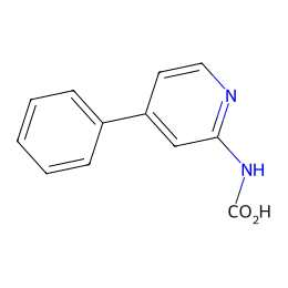 O=C(O)Nc1cc(-c2ccccc2)ccn1